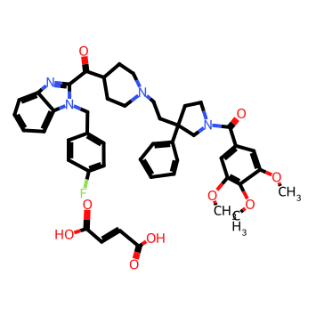 COc1cc(C(=O)N2CCC(CCN3CCC(C(=O)c4nc5ccccc5n4Cc4ccc(F)cc4)CC3)(c3ccccc3)C2)cc(OC)c1OC.O=C(O)C=CC(=O)O